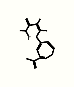 C=C(C)C1=CCC=CC(C/C(C)=C(/C)C(=C)C(C)F)=C1